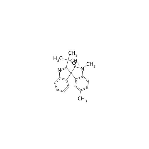 Cc1ccc2c(c1)C1(C(=O)N2C)C(C(C)(C)C)=Nc2ccccc21